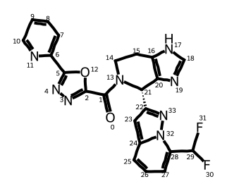 O=C(c1nnc(-c2ccccn2)o1)N1CCc2[nH]cnc2[C@@H]1c1cc2cccc(C(F)F)n2n1